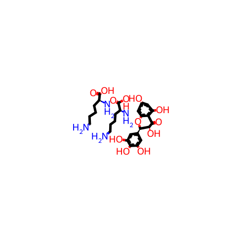 NCCCC[C@H](N)C(=O)O.NCCCC[C@H](N)C(=O)O.O=C1c2c(O)cc(O)cc2O[C@H](c2cc(O)c(O)c(O)c2)[C@H]1O